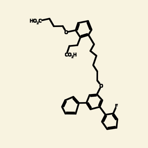 O=C(O)CCCOc1cccc(CCCCCCOc2cc(-c3ccccc3)cc(-c3ccccc3F)c2)c1CCC(=O)O